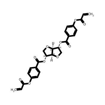 C=CC(=O)Oc1ccc(C(=O)O[C@@H]2CO[C@@H]3[C@H]2OC[C@H]3OC(=O)c2ccc(OC(=O)C=C)cc2)cc1